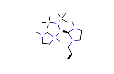 C=CCN1CCN(C(C)(C)C)[C]1=[Cu]([N]([Si](C)(C)C)[Si](C)(C)C)[N+]1(C(C)(C)C)CCN(CC)C1